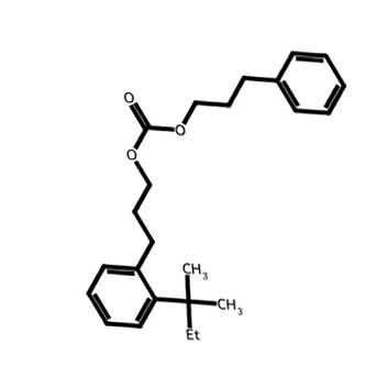 CCC(C)(C)c1ccccc1CCCOC(=O)OCCCc1ccccc1